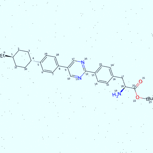 CC[C@H]1CC[C@H](c2ccc(-c3cnc(-c4ccc(C[C@H](N)C(=O)OC(C)(C)C)cc4)nc3)cc2)CC1